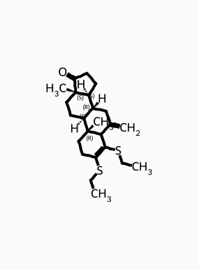 C=C1C[C@@H]2[C@H](CC[C@]3(C)C(=O)CC[C@@H]23)[C@@]2(C)CCC(SCC)=C(SCC)C12